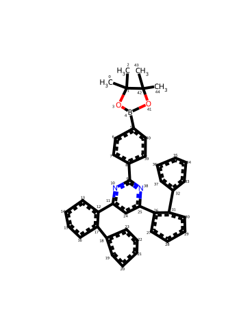 CC1(C)OB(c2ccc(-c3nc(-c4ccccc4-c4ccccc4)cc(-c4ccccc4-c4ccccc4)n3)cc2)OC1(C)C